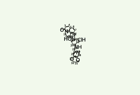 Cl.O=c1ccc2ccc(F)c3c2n1CCC3(O)CN1CCC(NCc2cc3c(cn2)OCCO3)CC1